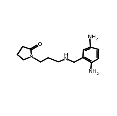 Nc1ccc(N)c(CNCCCN2CCCC2=O)c1